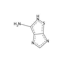 Nc1[nH]sc2ncnc1-2